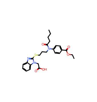 CCCCC(=O)N(CCCSc1nc2ccccc2n1CC(=O)O)c1ccc(C(=O)OCC)cc1